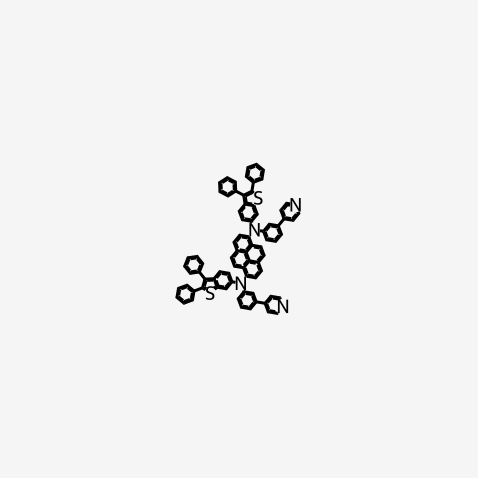 c1ccc(-c2sc3cc(N(c4cccc(-c5ccncc5)c4)c4ccc5ccc6c(N(c7cccc(-c8ccncc8)c7)c7ccc8c(-c9ccccc9)c(-c9ccccc9)sc8c7)ccc7ccc4c5c76)ccc3c2-c2ccccc2)cc1